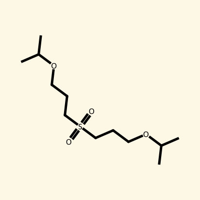 CC(C)OCCCS(=O)(=O)CCCOC(C)C